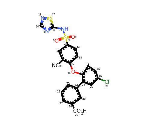 N#Cc1cc(S(=O)(=O)Nc2ncns2)ccc1Oc1ccc(Cl)cc1-c1cccc(C(=O)O)c1